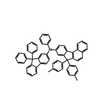 Cc1ccc(C2(c3ccc(C)cc3)c3cc(N(c4ccccc4)c4ccc5c(c4)C(c4ccccc4)(c4ccccc4)c4ccccc4-5)ccc3-c3c2ccc2ccccc32)cc1